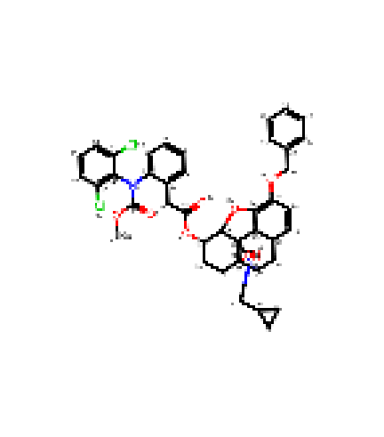 CC(C)(C)OC(=O)N(c1ccccc1CC(=O)O[C@@H]1CC[C@@]2(O)C3CC4C=CC(OCc5ccccc5)=C5OC1C2(CCN3CC1CC1)C54)c1c(Cl)cccc1Cl